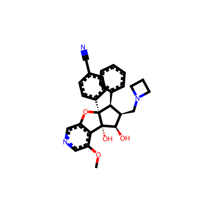 COc1cncc2c1[C@]1(O)[C@H](O)[C@H](CN3CCC3)[C@H](c3ccccc3)[C@]1(c1ccc(C#N)cc1)O2